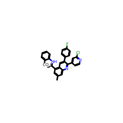 Cc1cc([C@@H](C)Nc2ccccc2C(=O)O)c2cc(-c3ccc(F)cc3)c(-c3ccnc(Cl)c3)nc2c1